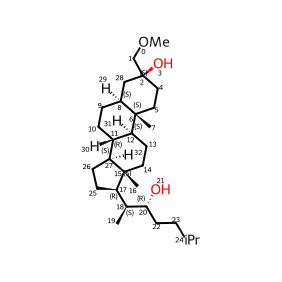 COC[C@]1(O)CC[C@@]2(C)[C@@H](CC[C@@H]3[C@@H]2CC[C@]2(C)[C@@H]([C@H](C)[C@H](O)CCC(C)C)CC[C@@H]32)C1